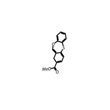 COC(=O)C1=CC=C2Sc3ccccc3OC=C2C1